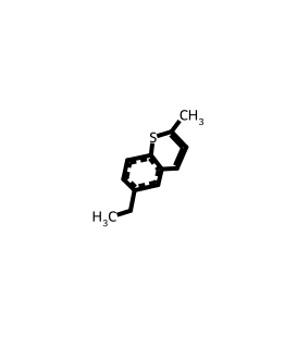 CCc1ccc2c(c1)C=C=C(C)S2